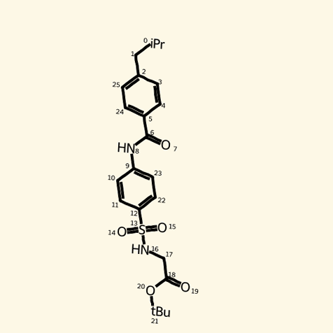 CC(C)Cc1ccc(C(=O)Nc2ccc(S(=O)(=O)NCC(=O)OC(C)(C)C)cc2)cc1